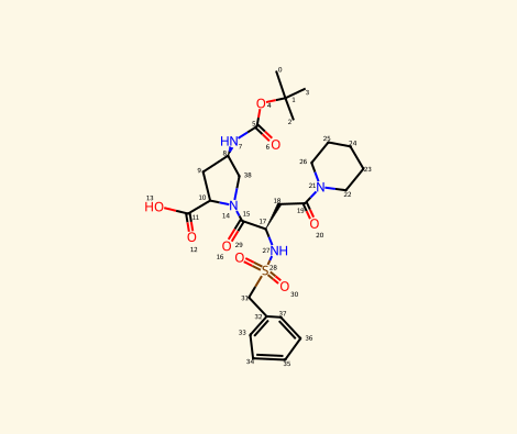 CC(C)(C)OC(=O)N[C@@H]1CC(C(=O)O)N(C(=O)[C@@H](CC(=O)N2CCCCC2)NS(=O)(=O)Cc2ccccc2)C1